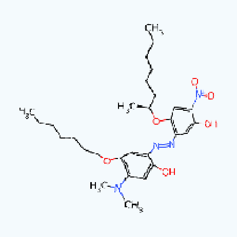 CCCCCCCOc1cc(N=Nc2cc(O)c([N+](=O)[O-])cc2O[C@@H](C)CCCCCC)c(O)cc1N(C)C